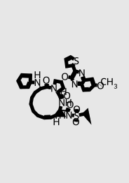 COc1ccc2nc(O[C@@H]3C[C@H]4C(=O)N[C@]5(C(=O)NS(=O)(=O)C6CC6)C[C@H]5/C=C\CCCCC[C@H](Nc5ccccc5)C(=O)N4C3)c(C3CC=CS3)nc2c1